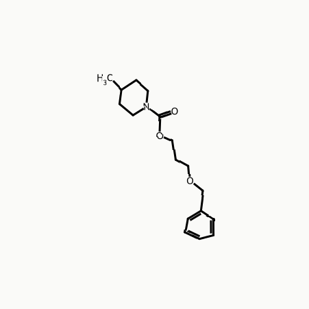 CC1CCN(C(=O)OCCCOCc2ccccc2)CC1